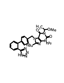 CCCCc1nc2c(c(=O)n(C(C)OC)c(=O)n2CCC)n1Cc1ccc(-c2ccccc2-c2nnn[nH]2)cc1